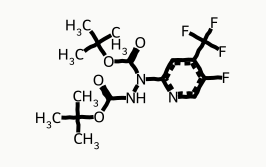 CC(C)(C)OC(=O)NN(C(=O)OC(C)(C)C)c1cc(C(F)(F)F)c(F)cn1